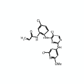 C=CC(=O)Nc1cc(Cl)ccc1Nc1nc(Nc2cc(Cl)nc(OC)c2)ncc1Cl